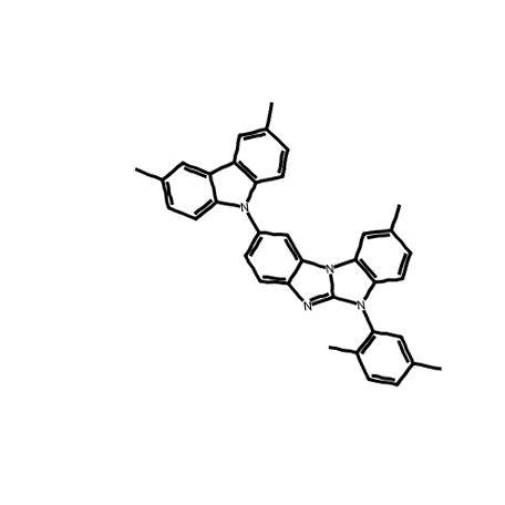 Cc1ccc(C)c(-n2c3ccc(C)cc3n3c4cc(-n5c6ccc(C)cc6c6cc(C)ccc65)ccc4nc23)c1